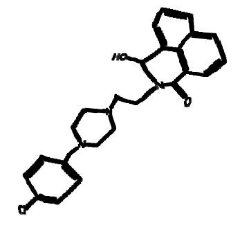 O=C1c2cccc3cccc(c23)C(O)N1CCN1CCN(c2ccc(Cl)cc2)CC1